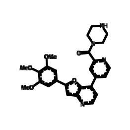 COc1cc(-c2cc3nccc(-c4ccnc(C(=O)N5CCNCC5)c4)c3o2)cc(OC)c1OC